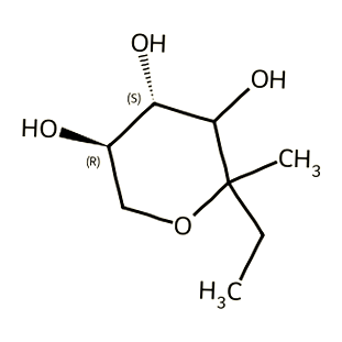 CCC1(C)OC[C@@H](O)[C@H](O)C1O